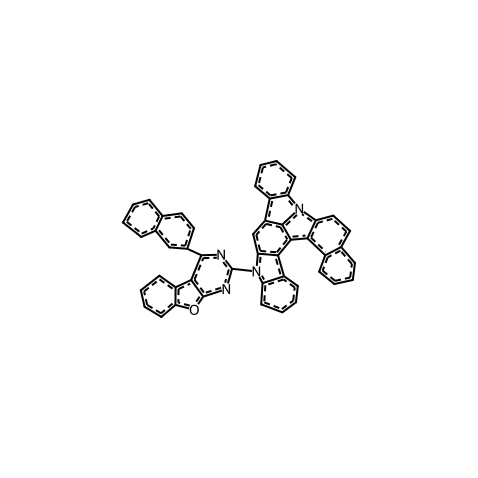 c1ccc2cc(-c3nc(-n4c5ccccc5c5c6c7c8ccccc8ccc7n7c8ccccc8c(cc54)c67)nc4oc5ccccc5c34)ccc2c1